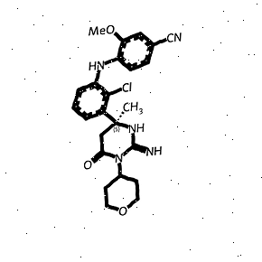 COc1cc(C#N)ccc1Nc1cccc([C@]2(C)CC(=O)N(C3CCOCC3)C(=N)N2)c1Cl